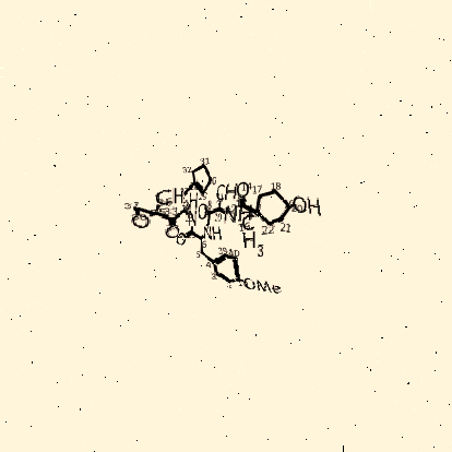 COc1ccc(C[C@H](NC(=O)[C@@H](C)NC(=O)[C@]2(C)CC[C@H](O)CC2)C(=O)N[C@@H](CC2=CCCC2)C(=O)[C@@]2(C)CO2)cc1